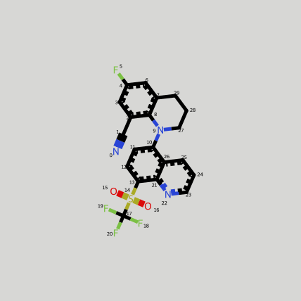 N#Cc1cc(F)cc2c1N(c1ccc(S(=O)(=O)C(F)(F)F)c3ncccc13)CCC2